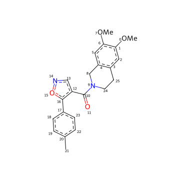 COc1cc2c(cc1OC)CN(C(=O)c1cnoc1-c1ccc(C)cc1)CC2